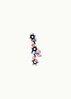 COC(=O)N(CCOC1CCCCO1)c1ccc(OCc2nc3ccccc3s2)cc1C